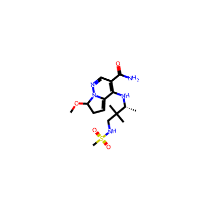 COC1CC=C2C(N[C@H](C)C(C)(C)CNS(C)(=O)=O)=C(C(N)=O)C=NN21